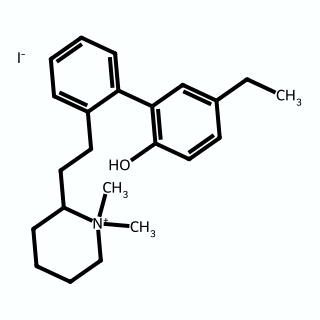 CCc1ccc(O)c(-c2ccccc2CCC2CCCC[N+]2(C)C)c1.[I-]